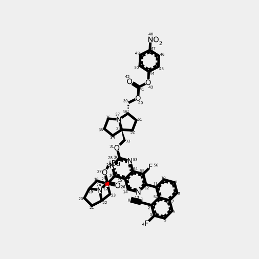 C#Cc1c(F)ccc2cccc(-c3ncc4c(N5CC6CCC(C5)N6C(=O)OC(C)(C)C)nc(OC[C@@]56CCCN5[C@H](COC(=O)Oc5ccc([N+](=O)[O-])cc5)CC6)nc4c3F)c12